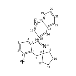 Fc1cccc2c1CC1(CCCC1)N=C2c1cnc2ccccc2c1